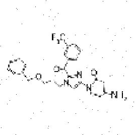 Nc1ccn(-c2cn(CCCOCc3ccccc3)c(C(=O)c3cccc(C(F)(F)F)c3)n2)c(=O)c1